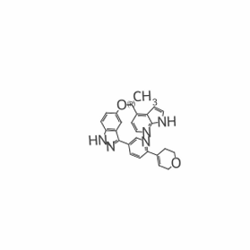 C[C@@H](Oc1ccc2[nH]nc(-c3ccc(C4=CCOCC4)nc3)c2c1)c1ccnc2[nH]ccc12